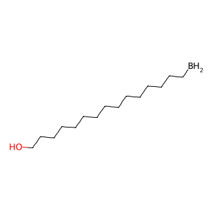 BCCCCCCCCCCCCCCCO